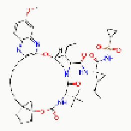 CC[C@@H]1[C@@H]2CN(C(=O)[C@H](C(C)(C)C)NC(=O)O[C@]34CCC[C@]3(CCCCCc3nc5ccc(OC)cc5nc3O2)C4)[C@@H]1C(=O)N[C@]1(C(=O)NS(=O)(=O)C2CC2)C[C@H]1CC